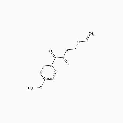 C=COCOC(=O)C(=O)c1ccc(OC)cc1